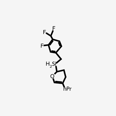 CCCC1=COC([SiH2]Cc2ccc(C(F)F)c(F)c2)CC1